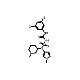 CN1CCCC(N(c2cnn(C)c2)S(=O)(=O)NC(=O)Nc2cc(Cl)cc(Cl)c2)C1